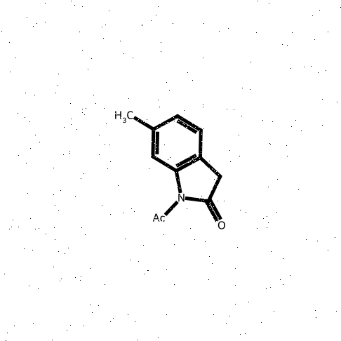 CC(=O)N1C(=O)Cc2ccc(C)cc21